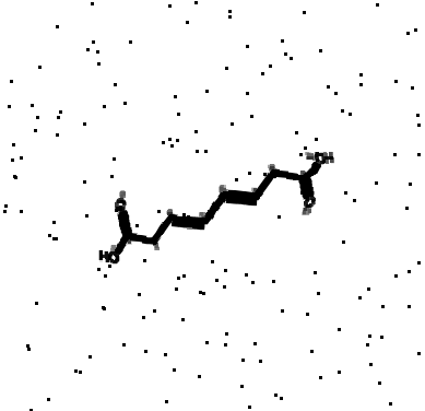 O=C(O)CC=CC=CCC(=O)O